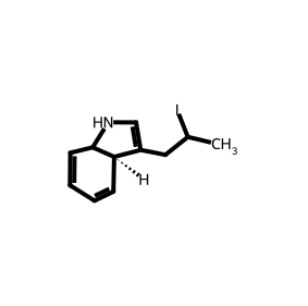 CC(I)CC1=CNC2C=CC=C[C@H]12